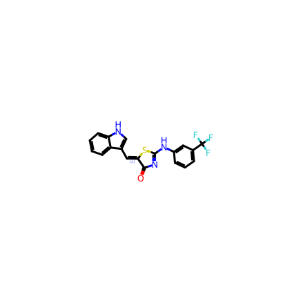 O=C1N=C(Nc2cccc(C(F)(F)F)c2)S/C1=C\c1c[nH]c2ccccc12